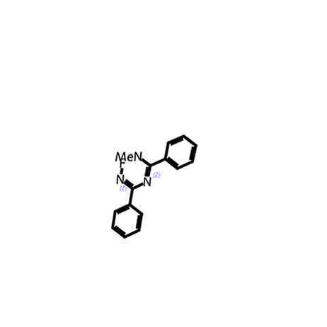 CN/C(=N\C(=N/F)c1ccccc1)c1ccccc1